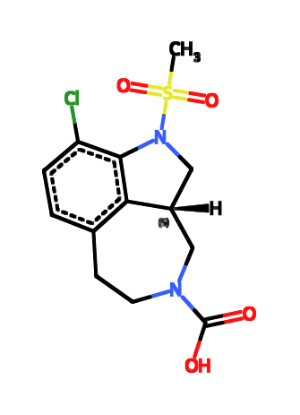 CS(=O)(=O)N1C[C@@H]2CN(C(=O)O)CCc3ccc(Cl)c1c32